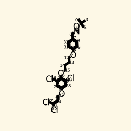 CC(C)(C)ON=Cc1ccc(OCCCCOc2c(Cl)cc(OCC=C(Cl)Cl)cc2Cl)cc1